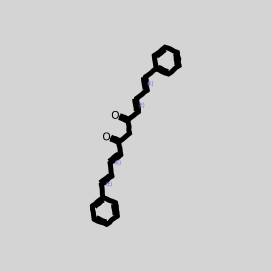 O=C(/C=C/C=C/c1ccccc1)CC(=O)/C=C/C=C/c1ccccc1